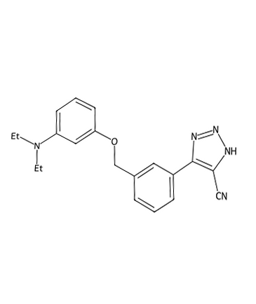 CCN(CC)c1cccc(OCc2cccc(-c3nn[nH]c3C#N)c2)c1